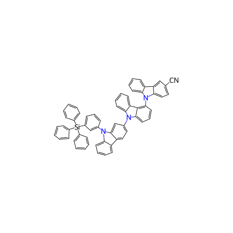 N#Cc1ccc2c(c1)c1ccccc1n2-c1cccc2c1c1ccccc1n2-c1ccc2c3ccccc3n(-c3cccc([Si](c4ccccc4)(c4ccccc4)c4ccccc4)c3)c2c1